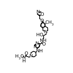 CNC(=O)CN1CCC(Nc2cc(C(=O)NCC(O)CN3CCc4c(ccc(OCc5cnco5)c4C)C3)ncn2)CC1